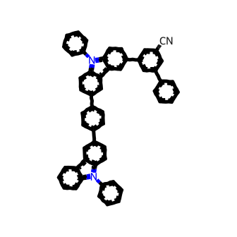 N#Cc1cc(-c2ccccc2)cc(-c2ccc3c(c2)c2cc(-c4ccc(-c5ccc6c(c5)c5ccccc5n6-c5ccccc5)cc4)ccc2n3-c2ccccc2)c1